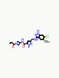 C=CC(=O)N1CC(NC(=O)c2cc(CNc3n[nH]c4cc(Cl)c(C(C)(C)C)cc34)nn2C)C1